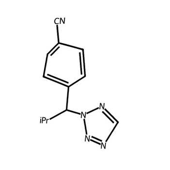 CC(C)C(c1ccc(C#N)cc1)n1ncnn1